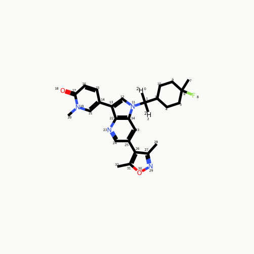 [2H]C([2H])(C1CCC(C)(F)CC1)n1cc(-c2ccc(=O)n(C)c2)c2ncc(-c3c(C)noc3C)cc21